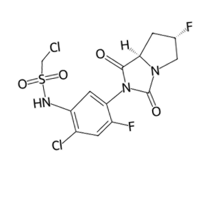 O=C1[C@H]2C[C@H](F)CN2C(=O)N1c1cc(NS(=O)(=O)CCl)c(Cl)cc1F